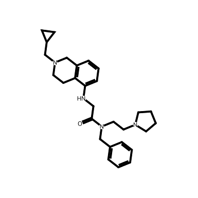 O=C(CNc1cccc2c1CCN(CC1CC1)C2)N(CCN1CCCC1)Cc1ccccc1